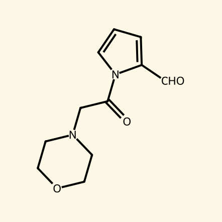 O=Cc1cccn1C(=O)CN1CCOCC1